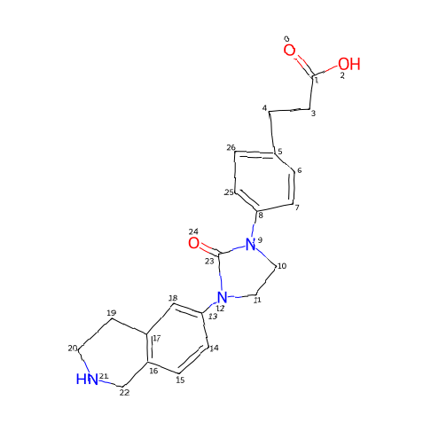 O=C(O)CCc1ccc(N2CCN(c3ccc4c(c3)CCNC4)C2=O)cc1